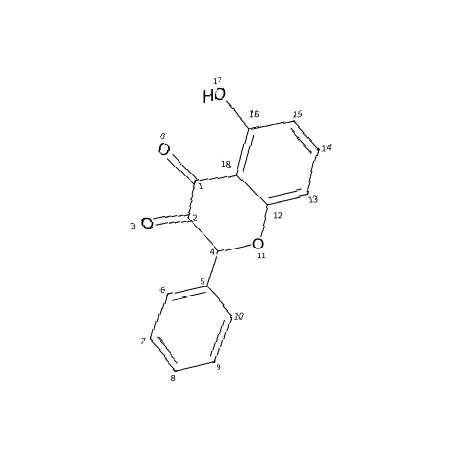 O=C1C(=O)C(c2ccccc2)Oc2cccc(O)c21